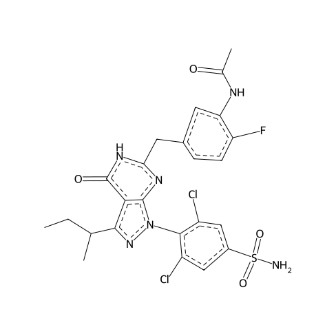 CCC(C)c1nn(-c2c(Cl)cc(S(N)(=O)=O)cc2Cl)c2nc(Cc3ccc(F)c(NC(C)=O)c3)[nH]c(=O)c12